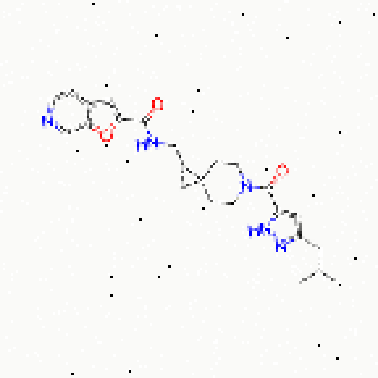 CC(C)Cc1cc(C(=O)N2CCC3(CC2)CC3CNC(=O)c2cc3ccncc3o2)[nH]n1